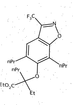 CCCc1cc2c(C(F)(F)F)noc2c(CCC)c1OC(CC)(CCC)C(=O)OCC